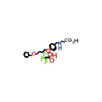 O=C(O)C(F)(F)F.O=C(O)CCNCc1ccc(OCCCCOCc2ccccc2)cc1